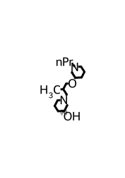 CCCN1CCCC(OCC(C)CN2CCC[C@@H](O)C2)C1